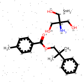 Cc1ccc(C(=O)OCC(C)(C)c2ccccc2)cc1.NC(CO)(CO)CO.[SnH2]